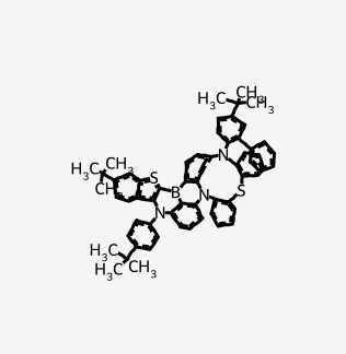 CC(C)(C)c1ccc(N2c3cccc4c3B(c3ccc5cc3N4c3ccccc3Sc3ccccc3N5c3ccc(C(C)(C)C)cc3-c3ccccc3)c3sc4cc(C(C)(C)C)ccc4c32)cc1